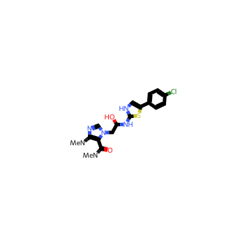 CNC(=O)c1c(NC)ncn1CC(O)NC1NC=C(c2ccc(Cl)cc2)S1